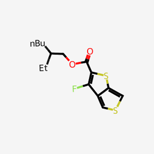 CCCCC(CC)COC(=O)c1sc2cscc2c1F